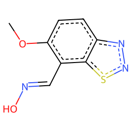 COc1ccc2nnsc2c1C=NO